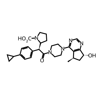 C[C@@H]1C[C@@H](O)c2ncnc(N3CCN(C(=O)[C@@H](c4ccc(C5CC5)cc4)C4CCCN4C(=O)O)CC3)c21